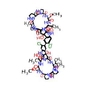 COC[C@@H]1NC(=O)C2CCCNN2C(=O)[C@@H]2CCCNN2C(=O)[C@@H](C(C)C)NC(=O)[C@@H]2C[C@@]3(O)c4cc(-c5cc6c(cc5Cl)N[C@H]5N7C(=O)[C@@H]([C@H](C)O)NC(=O)[C@H](COC)NC(=O)C8CCCNN8C(=O)[C@@H]8CCCNN8C(=O)[C@@H](C(C)C)NC(=O)[C@@H]7C[C@@]65O)c(Cl)cc4N[C@H]3N2C(=O)[C@@H]([C@H](C)O)NC1=O